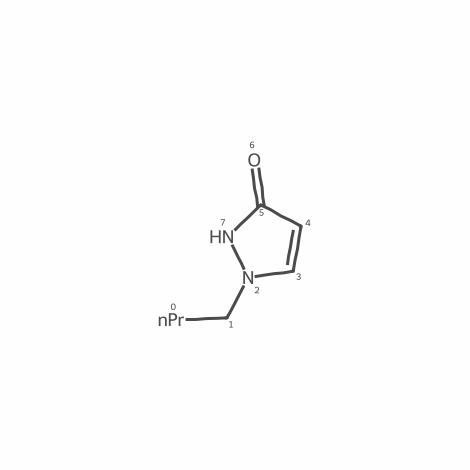 CCCCn1ccc(=O)[nH]1